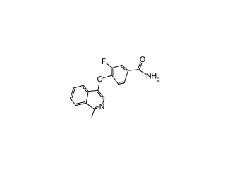 Cc1ncc(Oc2ccc(C(N)=O)cc2F)c2ccccc12